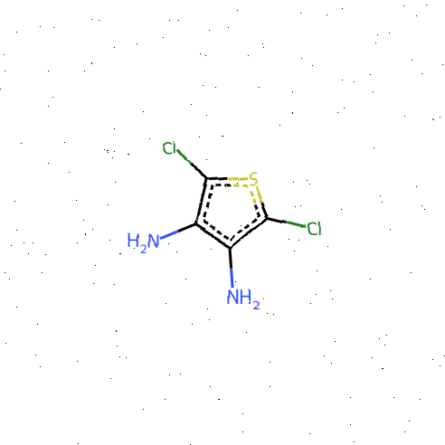 Nc1c(Cl)sc(Cl)c1N